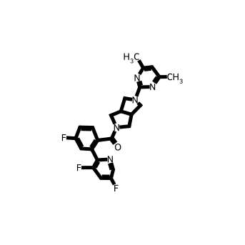 Cc1cc(C)nc(N2CC3CN(C(=O)c4ccc(F)cc4-c4ncc(F)cc4F)CC3C2)n1